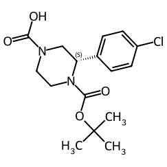 CC(C)(C)OC(=O)N1CCN(C(=O)O)C[C@@H]1c1ccc(Cl)cc1